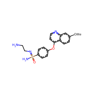 COc1ccc2c(Oc3ccc(S(N)(=O)=NCCN)cc3)ccnc2c1